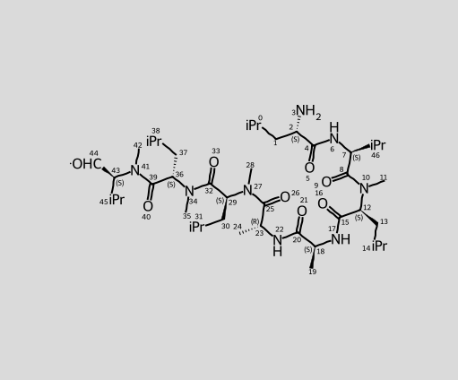 CC(C)C[C@H](N)C(=O)N[C@H](C(=O)N(C)[C@@H](CC(C)C)C(=O)N[C@@H](C)C(=O)N[C@H](C)C(=O)N(C)[C@@H](CC(C)C)C(=O)N(C)[C@@H](CC(C)C)C(=O)N(C)[C@H]([C]=O)C(C)C)C(C)C